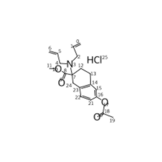 C=CCN(CC=C)C1(C(=O)OC)CCc2cc(OC(C)=O)ccc2C1.Cl